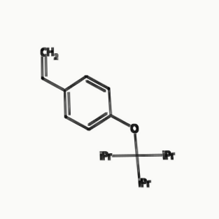 C=Cc1ccc(OC(C(C)C)(C(C)C)C(C)C)cc1